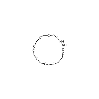 C1CCCCCCCCSSNNCCCCCCC1